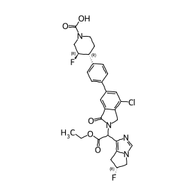 CCOC(=O)C(c1ncn2c1C[C@@H](F)C2)N1Cc2c(Cl)cc(-c3ccc([C@H]4CCN(C(=O)O)C[C@@H]4F)cc3)cc2C1=O